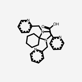 O=C(O)CN(Cc1ccccn1)C1(N(Cc2ccccn2)Cc2ccccn2)CCCCC1